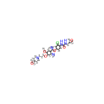 C=Nc1cc(OCCCN2CCC3(CC2)COC3)c(OC)cc1/C(=N\C)Oc1ccc(NC(=O)NCC2COC2)c(Cl)c1